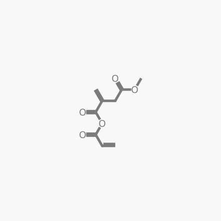 C=CC(=O)OC(=O)C(=C)CC(=O)OC